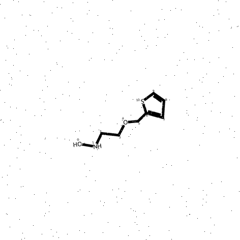 ONCCOCc1cccs1